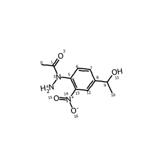 CC(=O)N(N)c1ccc(C(C)O)cc1[N+](=O)[O-]